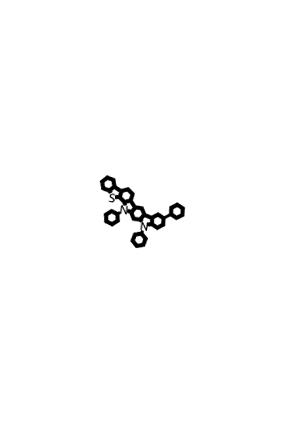 c1ccc(-c2ccc3c(c2)c2cc4c5ccc6c7ccccc7sc6c5n(-c5ccccc5)c4cc2n3-c2ccccc2)cc1